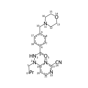 CC(C)CN(NC(=O)c1ccc(CN2CCOCC2)cc1)c1ccnc(C#N)n1